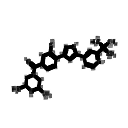 CC1CN(C(=O)c2ccc(-c3csc(-c4ccnc(C(C)(C)C)c4)c3)c(Cl)c2)CC(C)O1